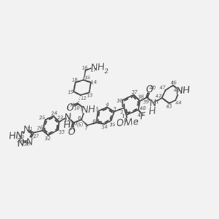 COc1c(-c2ccc(C[C@H](NC(=O)[C@H]3CC[C@H](CN)CC3)C(=O)Nc3ccc(-c4nn[nH]n4)cc3)cc2)ccc(C(=O)NC2CCNCC2)c1F